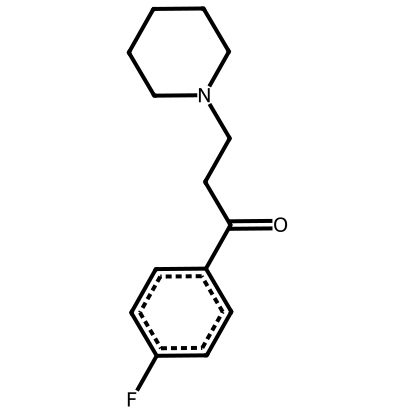 O=C(CCN1CCCCC1)c1ccc(F)cc1